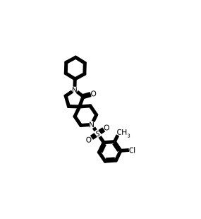 Cc1c(Cl)cccc1S(=O)(=O)N1CCC2(CCN(C3CCCCC3)C2=O)CC1